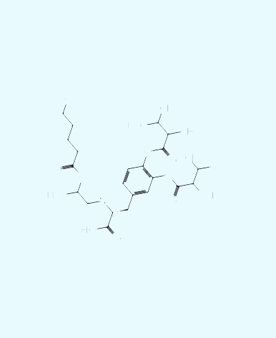 CCCCCC(=O)OC(C)CN[C@@H](Cc1ccc(OC(=O)C(C)C(C)C)c(OC(=O)C(C)C(C)C)c1)C(=O)O